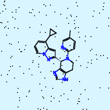 Cc1ccc(N2CCc3[nH]cnc3[C@@H]2c2cc3c(C4CC4)cccn3n2)nc1